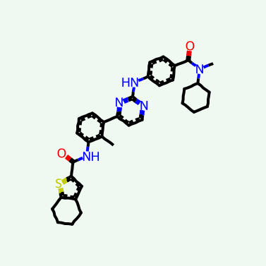 Cc1c(NC(=O)c2cc3c(s2)CCCC3)cccc1-c1ccnc(Nc2ccc(C(=O)N(C)C3CCCCC3)cc2)n1